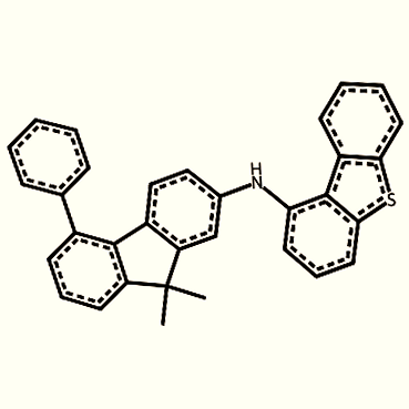 CC1(C)c2cc(Nc3cccc4sc5ccccc5c34)ccc2-c2c(-c3ccccc3)cccc21